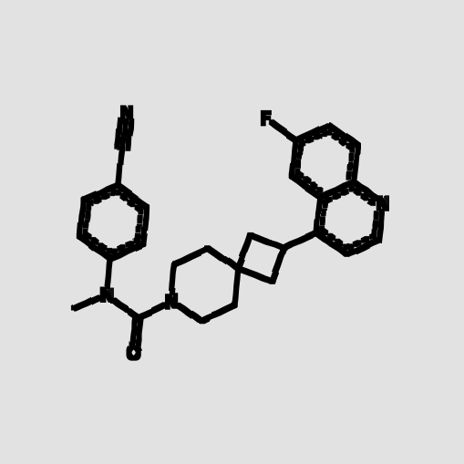 CN(C(=O)N1CCC2(CC1)CC(c1ccnc3ccc(F)cc13)C2)c1ccc(C#N)cc1